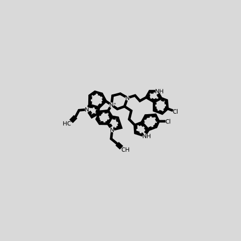 C#CCn1ccc2c([N+]3(c4cccc5c4ccn5CC#C)CCN(CCc4c[nH]c5cc(Cl)ccc45)C(CCc4c[nH]c5cc(Cl)ccc45)C3)cccc21